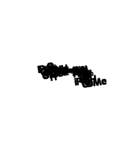 COC(=O)N[C@H](C(=O)N[C@@H](C)c1ncc(-c2ccc(C#Cc3ccc(-c4cnc([C@@H]5CCCN5C(=O)[C@@H](NC(=O)OC)C(C)C)[nH]4)cc3)cc2)[nH]1)C(C)C